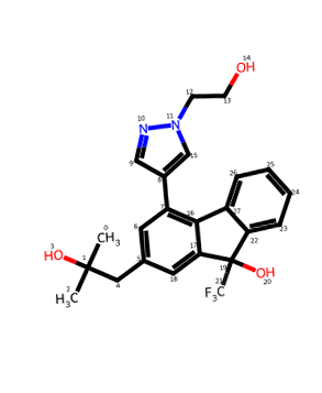 CC(C)(O)Cc1cc(-c2cnn(CCO)c2)c2c(c1)C(O)(C(F)(F)F)c1ccccc1-2